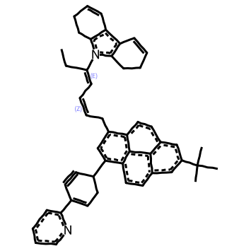 CC/C(=C\C=C/Cc1cc(C2C#CC(c3ccccn3)=CC2)c2ccc3cc(C(C)(C)C)cc4ccc1c2c43)n1c2c(c3c1CCC=C3)C=CCC2